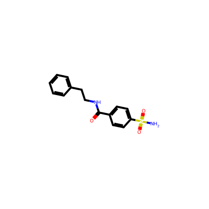 NS(=O)(=O)c1ccc(C(=O)NCCc2ccccc2)cc1